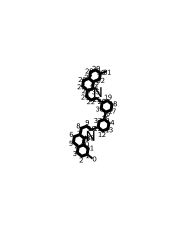 Cc1ccc2ccc3ccc(-c4cccc(-c5cccc(-c6ccc7ccc8ccc(C)cc8c7n6)c5)c4)nc3c2c1